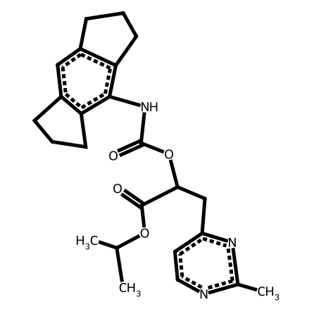 Cc1nccc(CC(OC(=O)Nc2c3c(cc4c2CCC4)CCC3)C(=O)OC(C)C)n1